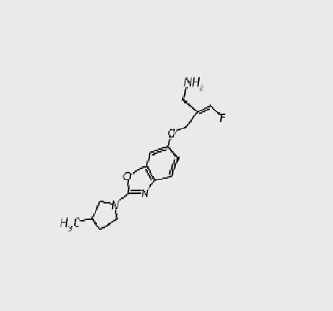 CC1CCN(c2nc3ccc(OC/C(=C\F)CN)cc3o2)C1